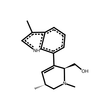 Cc1c[nH]c2c(C3=C[C@@H](C)CN(C)[C@@H]3CO)cccc12